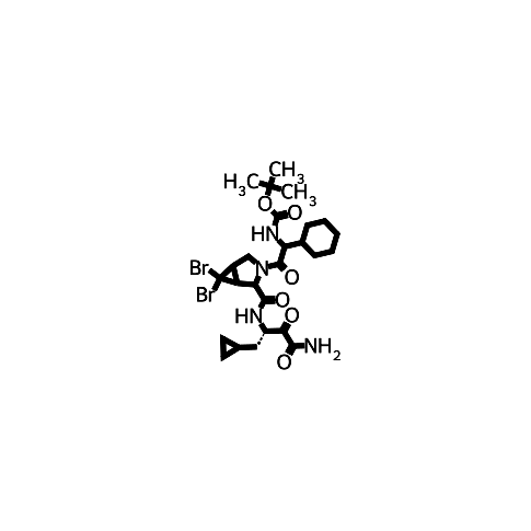 CC(C)(C)OC(=O)NC(C(=O)N1CC2C(C1C(=O)N[C@@H](CC1CC1)C(=O)C(N)=O)C2(Br)Br)C1CCCCC1